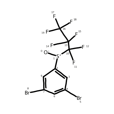 [O-][S+](c1cc(Br)[c]c(Br)c1)C(F)(F)C(F)(F)C(F)(F)F